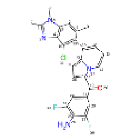 Cc1cc2c(nc(C)n2C)c(Cl)c1-c1cccn2c(C(=O)c3cc(F)c(N)c(F)c3)ccc12